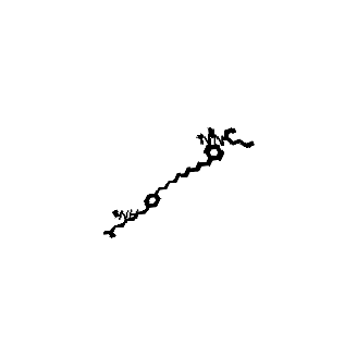 C=CCCC(C=C)N1C(=C)N(C)c2cc(CCCCCCCCCCc3ccc(CCCC(CCC(=C)C)NC=C)cc3)ccc21